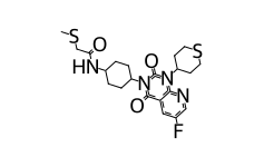 CSCC(=O)NC1CCC(n2c(=O)c3cc(F)cnc3n(C3CCSCC3)c2=O)CC1